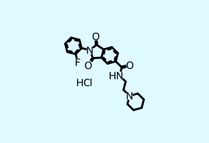 Cl.O=C(NCCN1CCCCC1)c1ccc2c(c1)C(=O)N(c1ccccc1F)C2=O